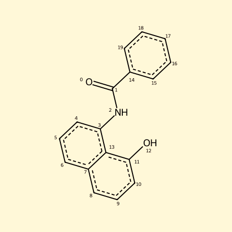 O=C(Nc1cccc2cccc(O)c12)c1ccccc1